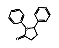 O=C1CCC(c2ccccc2)N1c1ccccc1